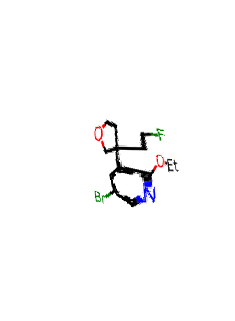 CCOc1ncc(Br)cc1C1(CCF)CCOC1